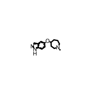 CN1CCCC(Oc2ccc3[nH]ncc3c2)CC1